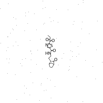 CCS(=O)(=O)c1ncc(C(=O)NCCC2C(=O)C3CCC2C3)s1